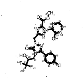 COC(=O)c1nc(Cn2nc(-c3ccc(Cl)cc3)n(C[C@H](O)C(F)(F)F)c2=O)nn1-c1nccnc1O